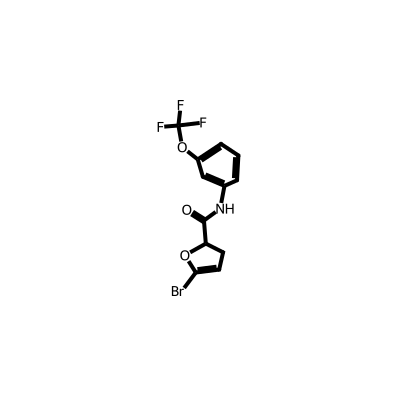 O=C(Nc1cccc(OC(F)(F)F)c1)C1CC=C(Br)O1